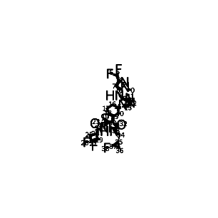 Cn1nc(C(F)F)cc1Nc1nncn1[C@H]1CCc2sc(NC(=O)C3CC(F)(F)C3)c(C(=O)NC[C@H]3C[C@H]3F)c2C1